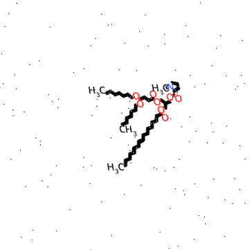 CCCCCC=CCC=CCCCCCCCC(=O)OCC(COC(=O)CCC(OCCCCCCCC)OCCCCCCCC)COC(=O)[C@H]1CCCN1C